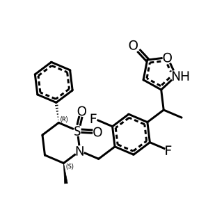 CC(c1cc(=O)o[nH]1)c1cc(F)c(CN2[C@@H](C)CC[C@H](c3ccccc3)S2(=O)=O)cc1F